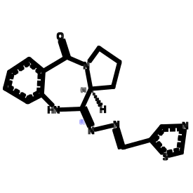 O=C1c2ccccc2N/C(=N/N=Cc2cncs2)[C@@H]2CCCN12